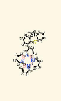 C[Si]1(C)c2ccccc2Sc2c(C3=CN4B5C=CC=CN5B5C=CC=CN5B5C=CC=CN5B4C=C3)cccc21